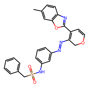 Cc1ccc2nc(C3=C(N=Nc4cccc(NS(=O)(=O)Cc5ccccc5)c4)COC=C3)oc2c1